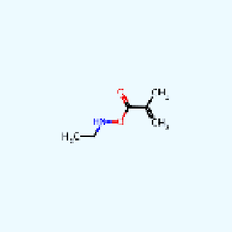 C=C(C)C(=O)ONCC